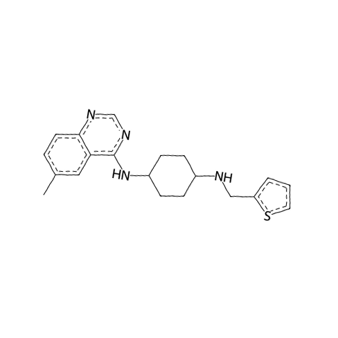 Cc1ccc2ncnc(NC3CCC(NCc4cccs4)CC3)c2c1